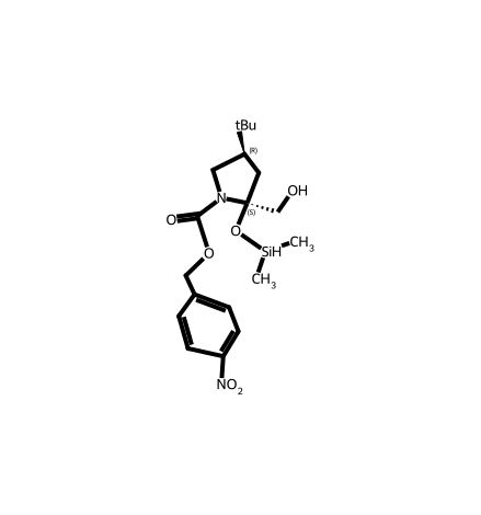 C[SiH](C)O[C@]1(CO)C[C@H](C(C)(C)C)CN1C(=O)OCc1ccc([N+](=O)[O-])cc1